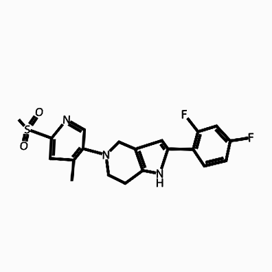 Cc1cc(S(C)(=O)=O)ncc1N1CCc2[nH]c(-c3ccc(F)cc3F)cc2C1